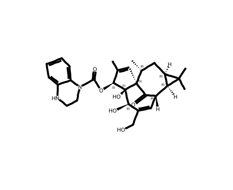 CC1=C[C@]23C(=O)[C@@H](C=C(CO)[C@@H](O)[C@]2(O)[C@H]1OC(=O)N1CCNc2ccccc21)[C@H]1[C@@H](C[C@H]3C)C1(C)C